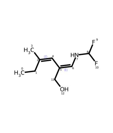 CC/C(C)=C\C(=C/NC(F)F)CO